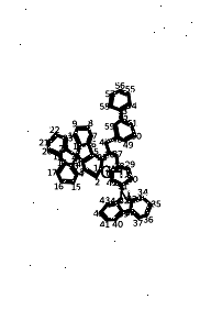 CC1C=CC2=C(c3ccccc3C23c2ccccc2-c2ccccc23)C1C(Cc1ccc(-n2c3ccccc3c3ccccc32)cc1)Cc1cccc(-c2ccccc2)c1